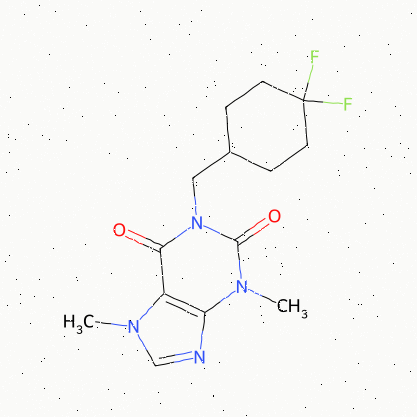 Cn1cnc2c1c(=O)n(CC1CCC(F)(F)CC1)c(=O)n2C